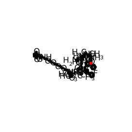 C[C@H](NC(=O)OCc1ccccc1)C(=O)N[C@H](C)C(=O)N[C@@H](CC(N)=O)C(=O)NCCCN(C(=O)CSC[C@H](NC(O)CCOCCOCCOCCOCCNC(=O)CN1C(=O)C=CC1=O)C(=O)O)[C@@H](c1cc(-c2cc(F)ccc2F)cn1Cc1ccccc1)C(C)(C)C